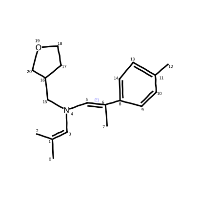 CC(C)=CN(/C=C(\C)c1ccc(C)cc1)CC1CCOC1